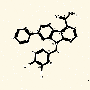 NC(=O)c1cccc2c1c1[c]cc(-c3ccccc3)cc1n2Cc1ccc(F)c(F)c1